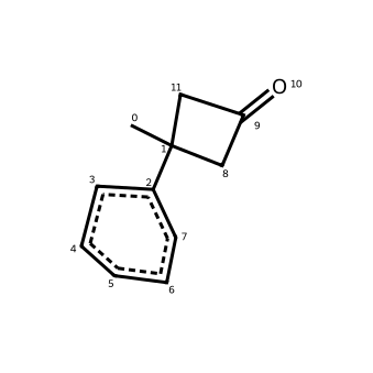 CC1(c2ccccc2)CC(=O)C1